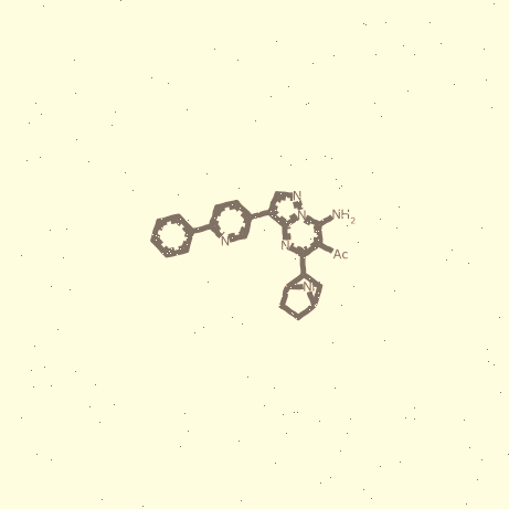 CC(=O)c1c(C2CC3CCC2N3)nc2c(-c3ccc(-c4ccccc4)nc3)cnn2c1N